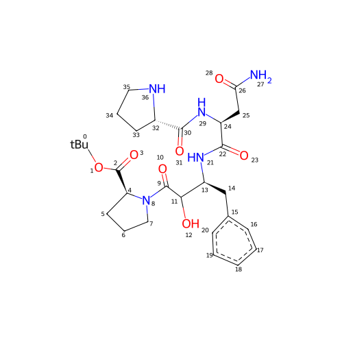 CC(C)(C)OC(=O)[C@@H]1CCCN1C(=O)C(O)[C@H](Cc1ccccc1)NC(=O)[C@H](CC(N)=O)NC(=O)[C@@H]1CCCN1